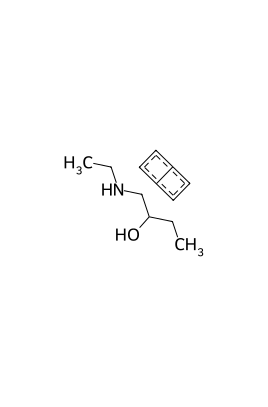 CCNCC(O)CC.c1cc2ccc1-2